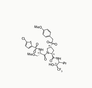 COC[C@H](NS(=O)(=O)c1ccc(Cl)s1)C(=O)N1C[C@H](S(=O)(=O)Cc2ccc(OC)cc2)C[C@H]1C(=O)NC(C(C)C)[C@H](O)C(F)(F)F